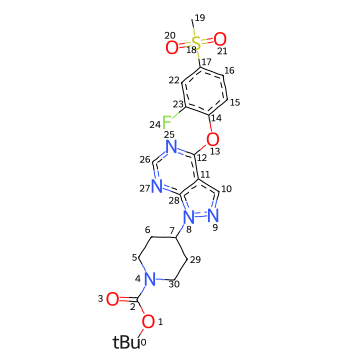 CC(C)(C)OC(=O)N1CCC(n2ncc3c(Oc4ccc(S(C)(=O)=O)cc4F)ncnc32)CC1